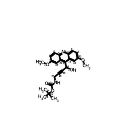 COc1ccc2nc3ccc(OC)cc3c(C(O)C#CCNC(=O)OC(C)(C)C)c2c1